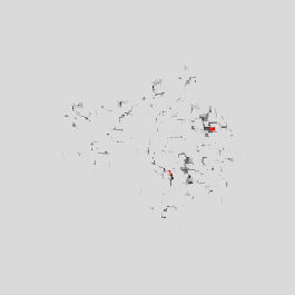 C[Si](C)(C)O[Si](CCC[N+](CCC[Si](O[Si](C)(C)C)(O[Si](C)(C)C)O[Si](C)(C)C)(CCC[Si](O[Si](C)(C)C)(O[Si](C)(C)C)O[Si](C)(C)C)CCC[Si](O[Si](C)(C)C)(O[Si](C)(C)C)O[Si](C)(C)C)(O[Si](C)(C)C)O[Si](C)(C)C